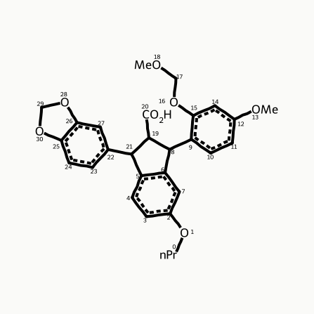 CCCOc1ccc2c(c1)C(c1ccc(OC)cc1OCOC)C(C(=O)O)C2c1ccc2c(c1)OCO2